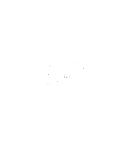 c1cncc(Nc2nc(Nc3ccn4ccnc4c3)cc(N3CCOCC3)n2)c1